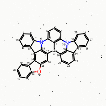 c1cc2c3c(c1)-n1c4ccccc4c4c5c(cc(c41)B3c1cccc3c4ccccc4n-2c13)oc1ccccc15